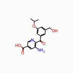 CC(C)Oc1cc(CO)cc(C(=O)c2ncc(C(=O)O)cc2N)c1